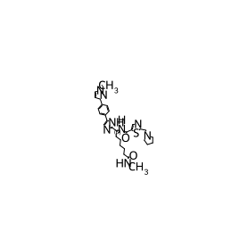 CNC(=O)CCCCC[C@H](NC(=O)c1cnc(CN2CCCC2)s1)c1ncc(-c2ccc(-c3ccn(C)n3)cc2)[nH]1